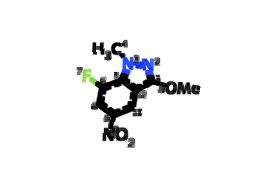 COc1nn(C)c2c(F)cc([N+](=O)[O-])cc12